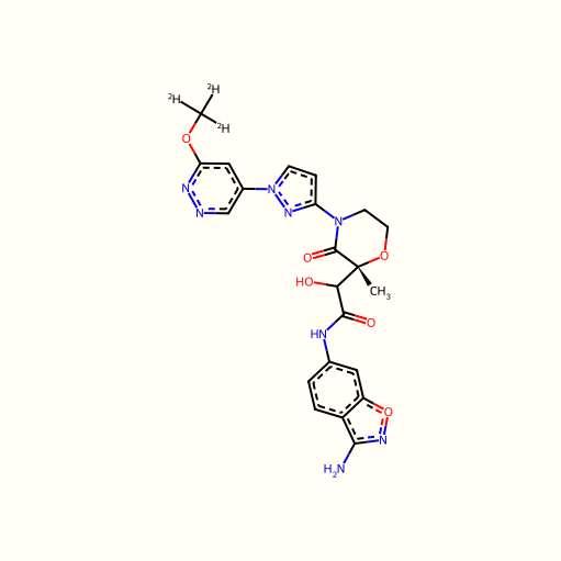 [2H]C([2H])([2H])Oc1cc(-n2ccc(N3CCO[C@](C)(C(O)C(=O)Nc4ccc5c(N)noc5c4)C3=O)n2)cnn1